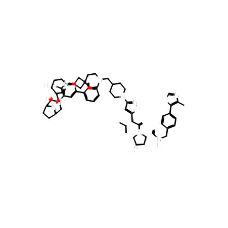 Cc1ncsc1-c1ccc([C@H](C)NC(=O)[C@@H]2C[C@@H](O)CN2C(=O)[C@@H](c2cc(N3CCC(CN4CCC5(CC4)CC(N4CCC[C@](O)(CN6C7CCC6CN(c6cc(-c8ccccc8O)nnc6N)C7)C4)C5)CC3)no2)C(C)C)cc1